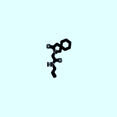 C=CCNC(=O)CN1CC2(CCCCC2)CC1=O